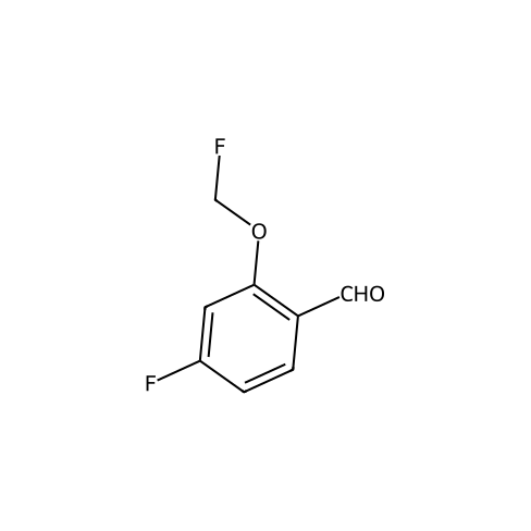 O=Cc1ccc(F)cc1OCF